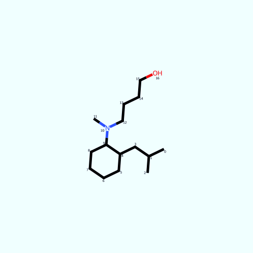 CC(C)CC1CCCCC1N(C)CCCCO